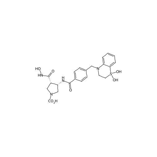 O=C(N[C@@H]1CN(C(=O)O)C[C@@H]1C(=O)NO)c1ccc(CN2CCS(O)(O)c3ccccc32)cc1